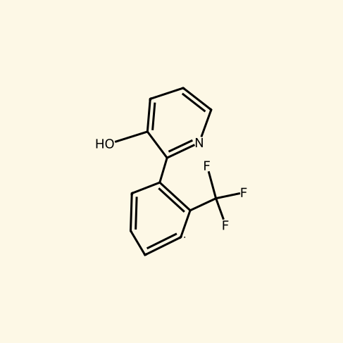 Oc1cccnc1-c1ccc[c]c1C(F)(F)F